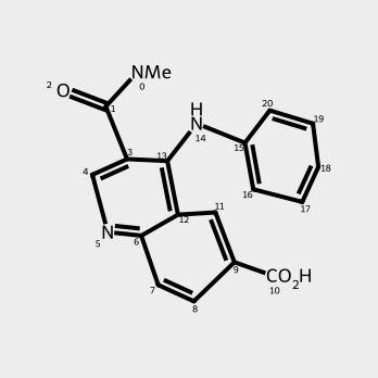 CNC(=O)c1cnc2ccc(C(=O)O)cc2c1Nc1ccccc1